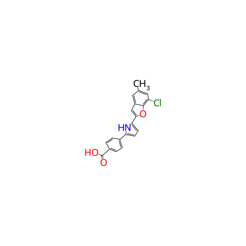 Cc1cc(Cl)c2oc(-c3ccc(-c4ccc(C(=O)O)cc4)[nH]3)cc2c1